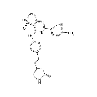 Cc1ccc(-c2cc3cc[nH]c(=O)c3c(Nc3ccc(CCN4CCNC(=O)C4)cc3)n2)cn1